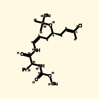 C/C(Cl)=C\C[C@@H](C/C=C\NC(=O)[C@@H](NC(=O)OC(C)(C)C)C(C)C)O[Si](C)(C)C(C)(C)C